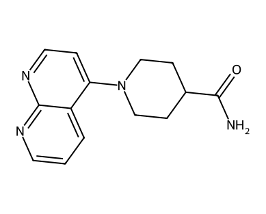 NC(=O)C1CCN(c2ccnc3ncccc23)CC1